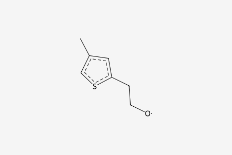 Cc1csc(CC[O])c1